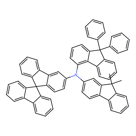 CC1(C)c2ccccc2-c2ccc(N(c3ccc4c(c3)-c3ccccc3C43c4ccccc4-c4ccccc43)c3cccc4c3-c3ccccc3C4(c3ccccc3)c3ccccc3)cc21